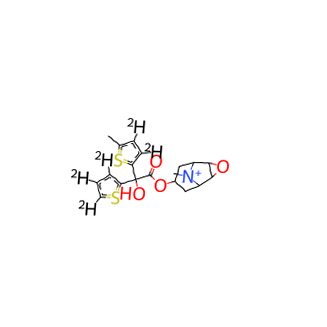 [2H]c1sc(C(O)(C(=O)OC2CC3C4OC4C(C2)[N+]3(C)C)c2sc(C)c([2H])c2[2H])c([2H])c1[2H]